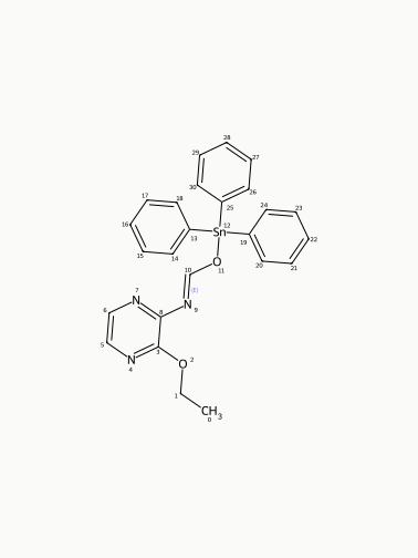 CCOc1nccnc1/N=C/[O][Sn]([c]1ccccc1)([c]1ccccc1)[c]1ccccc1